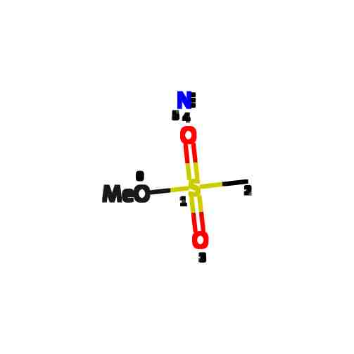 COS(C)(=O)=O.[N]